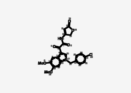 COc1cc2c(C(=O)C(=O)NC3=CC(=O)OC3)cn(Cc3ccc(Cl)cc3)c2cc1OC